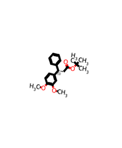 COc1ccc([C@@H](CC(=O)OC(C)(C)C)c2ccccc2)cc1OC